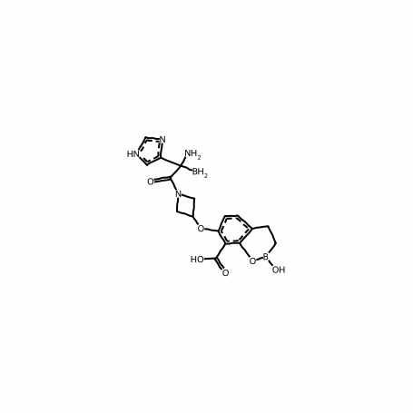 BC(N)(C(=O)N1CC(Oc2ccc3c(c2C(=O)O)OB(O)CC3)C1)c1c[nH]cn1